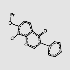 CC(C)Oc1ccc2c(=O)c(-c3ccccc3)coc2c1Cl